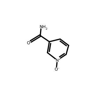 NC(=O)c1ccc[n+]([O-])c1